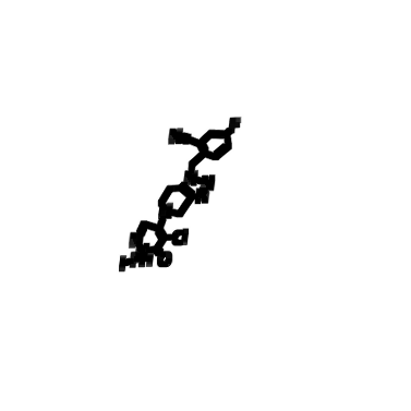 N#Cc1cc(F)ccc1Cn1nnc2c1CCN(c1cnn(PI)c(=O)c1Cl)C2